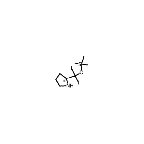 C[Si](C)(C)OC(I)(I)[C@@H]1CCCN1